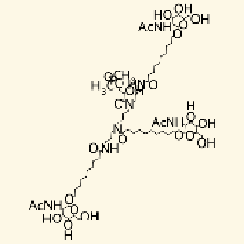 CC(=O)NC1[C@H](OCCCCCCCCCC(=O)NCCCN(CCCCN(CCCNC(=O)CCCCCCCCCO[C@@H]2OC(CO)[C@H](O)[C@H](O)C2NC(C)=O)C(=O)C(O)COP(C)(C)=O)C(=O)CCCCCCCCCO[C@@H]2OC(CO)[C@H](O)[C@H](O)C2NC(C)=O)OC(CO)[C@H](O)[C@@H]1O